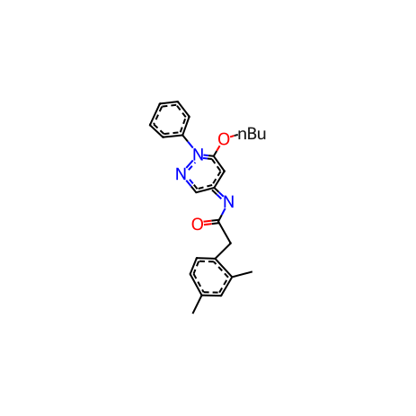 CCCCOc1cc(=NC(=O)Cc2ccc(C)cc2C)cnn1-c1ccccc1